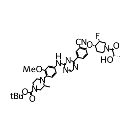 COc1cc(Nc2ncnc(-c3ccc(O[C@H]4CCN(C(=O)[C@H](C)O)C[C@@H]4F)c(C#N)c3)n2)ccc1N1CCN(C(=O)OC(C)(C)C)CC1C